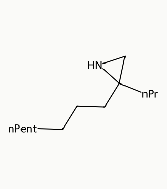 CCCCCCCCC1(CCC)CN1